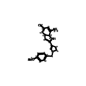 COc1ccc(Cn2cc(C3=CN4N=C(Cl)C=C(N)C4N3)cn2)cc1